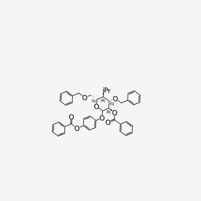 CC(C)[C@H]1[C@H](OCc2ccccc2)[C@@H](OC(=O)c2ccccc2)C(Oc2ccc(OC(=O)c3ccccc3)cc2)O[C@@H]1COCc1ccccc1